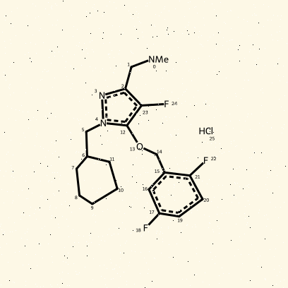 CNCc1nn(CC2CCCCC2)c(OCc2cc(F)ccc2F)c1F.Cl